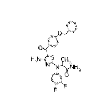 C[C@@H](C(N)=O)N(c1ccc(F)c(F)c1)c1nc(N)c(C(=O)c2ccc(OCc3ccccc3)cc2)s1